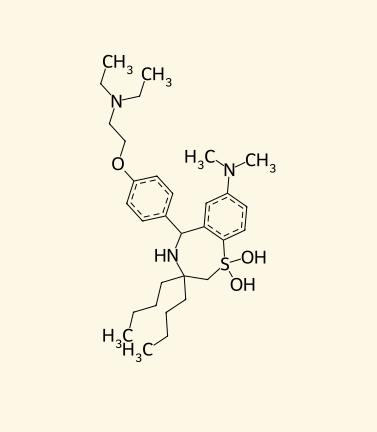 CCCCC1(CCCC)CS(O)(O)c2ccc(N(C)C)cc2C(c2ccc(OCCN(CC)CC)cc2)N1